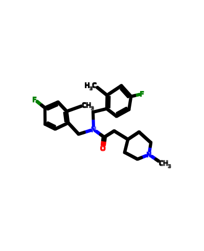 Cc1cc(F)ccc1CN(Cc1ccc(F)cc1C)C(=O)CC1CCN(C)CC1